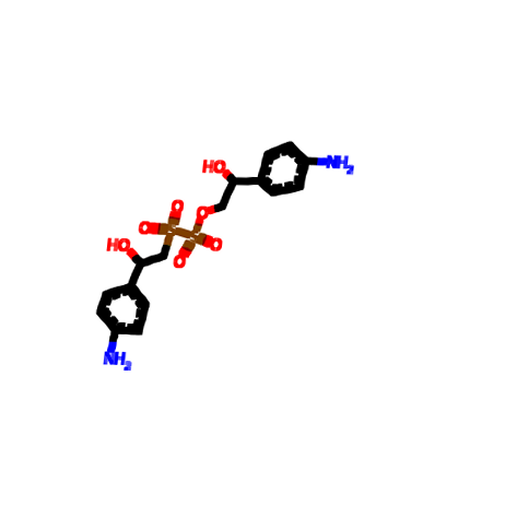 Nc1ccc(C(O)COS(=O)(=O)S(=O)(=O)CC(O)c2ccc(N)cc2)cc1